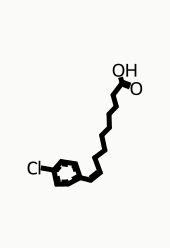 O=C(O)CCCCCCC/C=C\c1ccc(Cl)cc1